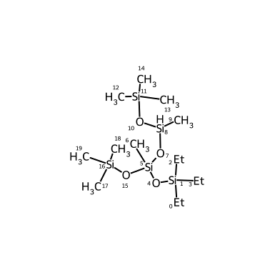 CC[Si](CC)(CC)O[Si](C)(O[SiH](C)O[Si](C)(C)C)O[Si](C)(C)C